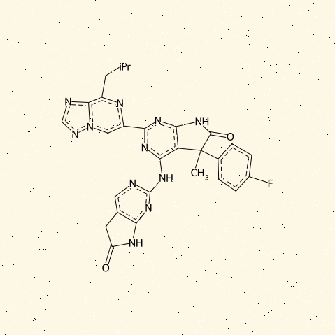 CC(C)Cc1nc(-c2nc3c(c(Nc4ncc5c(n4)NC(=O)C5)n2)C(C)(c2ccc(F)cc2)C(=O)N3)cn2ncnc12